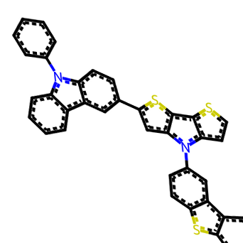 c1ccc(-n2c3ccccc3c3cc(-c4cc5c(s4)c4sccc4n5-c4ccc5sc6ccccc6c5c4)ccc32)cc1